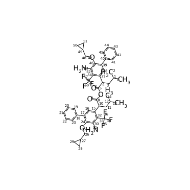 CC(C)CC(C(=O)OC(=O)C(CC(C)C)c1cc(-c2ccccc2)c(OCC2CC2)c(N)c1C(F)(F)F)c1cc(-c2ccccc2)c(OCC2CC2)c(N)c1C(F)(F)F